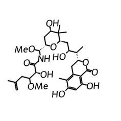 C=C(C)CC(OC)[C@H](O)C(=O)NC(OC)[C@@H]1C[C@@H](O)C(C)(C)[C@@H](C[C@H](O)C(C)[C@H]2Cc3c(C)c(O)cc(O)c3C(=O)O2)O1